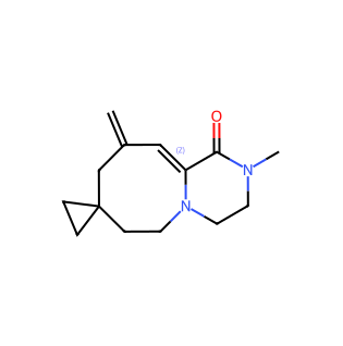 C=C1/C=C2/C(=O)N(C)CCN2CCC2(CC2)C1